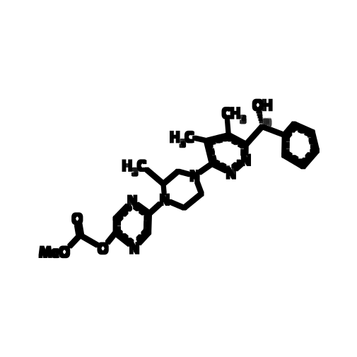 COC(=O)Oc1cnc(N2CCN(c3nnc([C@H](O)c4ccccc4)c(C)c3C)CC2C)cn1